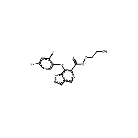 O=C(NOCCO)c1ncc2cnsc2c1Nc1ccc(Br)cc1F